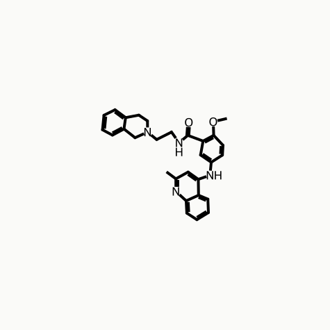 COc1ccc(Nc2cc(C)nc3ccccc23)cc1C(=O)NCCN1CCc2ccccc2C1